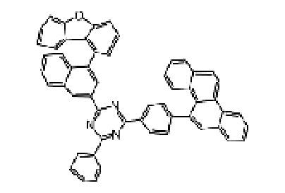 c1ccc(-c2nc(-c3ccc(-c4cc5ccccc5c5ccc6ccccc6c45)cc3)nc(-c3cc(-c4cccc5oc6ccccc6c45)c4ccccc4c3)n2)cc1